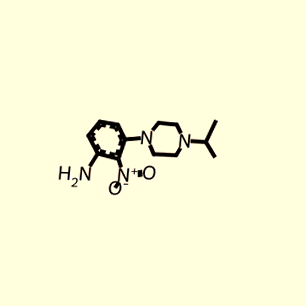 CC(C)N1CCN(c2cccc(N)c2[N+](=O)[O-])CC1